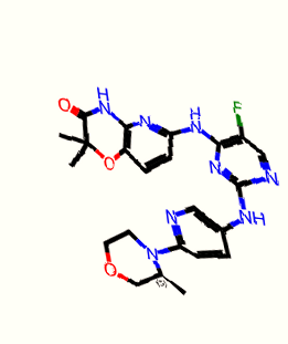 C[C@H]1COCCN1c1ccc(Nc2ncc(F)c(Nc3ccc4c(n3)NC(=O)C(C)(C)O4)n2)cn1